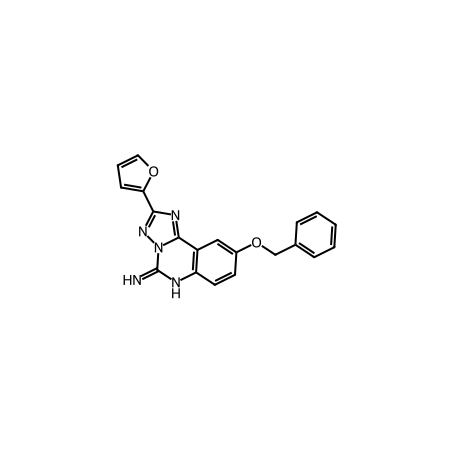 N=c1[nH]c2ccc(OCc3ccccc3)cc2c2nc(-c3ccco3)nn12